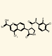 CN(C(=O)[C@@H]1CNC(=O)N1c1ccc2nc(C(O)=[Se])cc(C(F)(F)F)c2c1)c1ccc(F)c(Cl)c1F